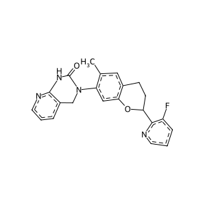 Cc1cc2c(cc1N1Cc3cccnc3NC1=O)OC(c1ncccc1F)CC2